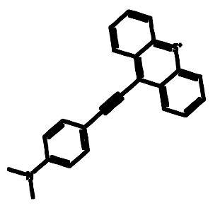 CN(C)c1ccc(C#Cc2c3ccccc3[s+]c3ccccc23)cc1